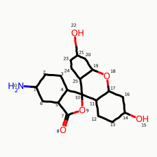 NC1CCC2C(C1)C(=O)OC21C2CCC(O)CC2OC2CC(O)CCC21